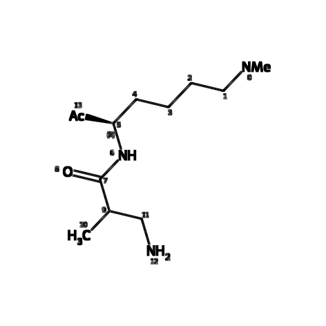 CNCCCC[C@@H](NC(=O)C(C)CN)C(C)=O